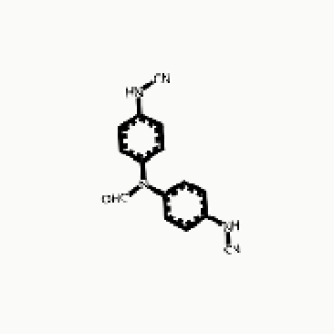 N#CNc1ccc(N(C=O)c2ccc(NC#N)cc2)cc1